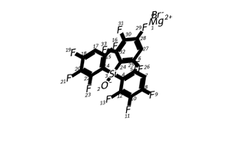 [Br-].[Mg+2].[O-][Si](c1c(F)cc(F)c(F)c1F)(c1c(F)cc(F)c(F)c1F)c1c(F)cc(F)c(F)c1F